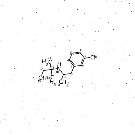 CC(Cc1cccc(Cl)c1)NC(C)(C)CO